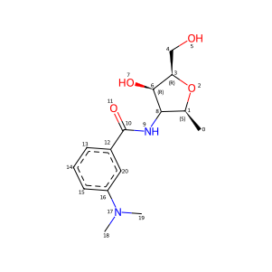 C[C@@H]1O[C@H](CO)[C@H](O)C1NC(=O)c1cccc(N(C)C)c1